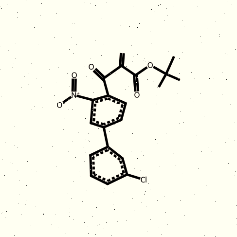 C=C(C(=O)OC(C)(C)C)C(=O)c1ccc(-c2cccc(Cl)c2)cc1[N+](=O)[O-]